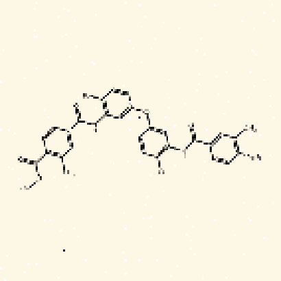 CCCOC(=O)c1ccc(C(=O)Nc2cc(Oc3ccc(O)c(NC(=O)c4ccc(CCC)c(C)c4)c3)ccc2O)cc1C